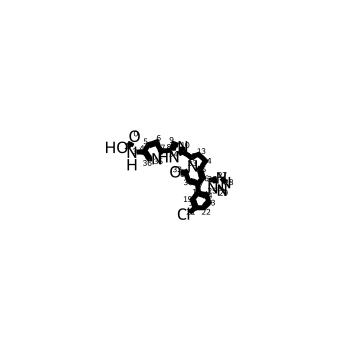 O=C(O)Nc1ccc(-c2cnc(C3CCc4cc(-c5cc(Cl)ccc5-n5cnnn5)cc(=O)n43)[nH]2)nc1